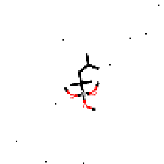 CO[Si](OC)(OC)C(C)(C)CC(C)C